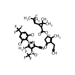 C#CCC1=C(C)[C@@H](OC(=O)C2C(C=C(C)C)C2(C)C)CC1=O.N#Cc1nn(-c2c(Cl)cc(C(F)(F)F)cc2Cl)c(N)c1[S+]([O-])C(F)(F)F